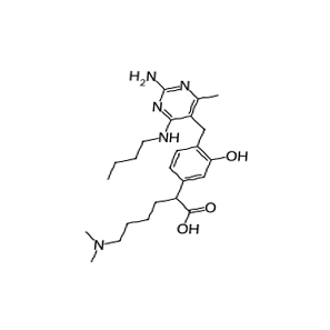 CCCCNc1nc(N)nc(C)c1Cc1ccc(C(CCCCN(C)C)C(=O)O)cc1O